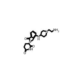 NCCN1CCC(Nc2cccc3c2CN(C2CCC(=O)NC2=O)C3=O)CC1